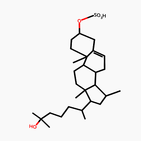 CC(CCCC(C)(C)O)C1CC(C)C2C3CC=C4CC(OS(=O)(=O)O)CCC4(C)C3CCC12C